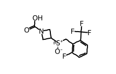 O=C(O)N1CC([S@@+]([O-])Cc2c(F)cccc2C(F)(F)F)C1